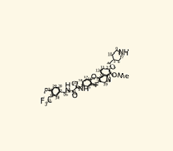 COc1c(OCC2CCNCC2)ccc2c(Oc3ccc(NC(=O)C(=O)NCc4ccc(F)c(C(F)(F)F)c4)cc3F)ccnc12